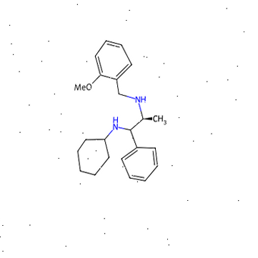 COc1ccccc1CN[C@@H](C)C(NC1CCCCC1)c1ccccc1